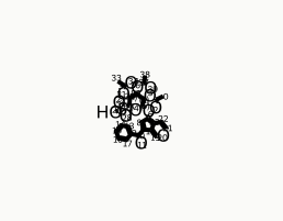 CC(=O)O[C@@H]1[C@@H](Oc2cc(C(=O)c3ccccc3)c3coccc2-3)OC(S(=O)(=O)O)[C@H](OC(C)=O)[C@H]1OC(C)=O